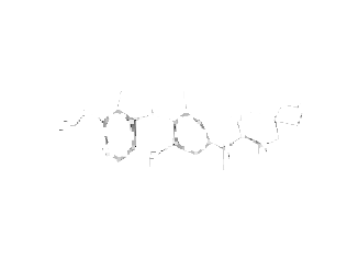 Cc1c(Oc2c(F)cc(NC3=NCC4(COC4)CO3)cc2F)ccnc1NC(C)C